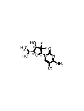 CCc1cn([C@@H]2O[C@H](C(C)O)[C@@H](O)C2(F)F)c(=O)nc1N